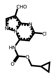 O=Cc1cnn2c(NC(=O)OCC3CC3)cc(Cl)nc12